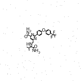 CC(C)[C@H](NCc1cc(C(N)=O)nc(-c2ccc(Oc3ccc(C(F)(F)F)cc3)cc2)n1)C(N)=O